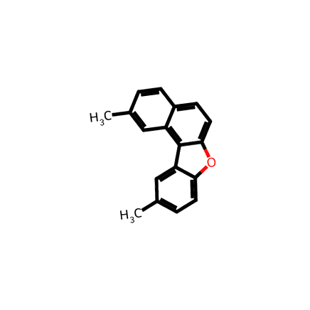 Cc1ccc2ccc3oc4ccc(C)cc4c3c2c1